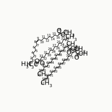 CCCCCCCC/C=C\CCCCCCCC(=O)OC.CCCCCCCCCCCCCC(=O)OC.CCCCCCCCCCCCCCC(C)C(=O)O.CCCCCCCCCCCCCCCCC(C)C(=O)O